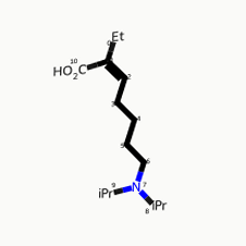 CCC(=CCCCCN(C(C)C)C(C)C)C(=O)O